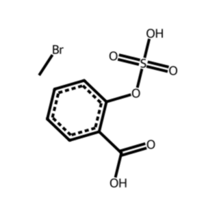 CBr.O=C(O)c1ccccc1OS(=O)(=O)O